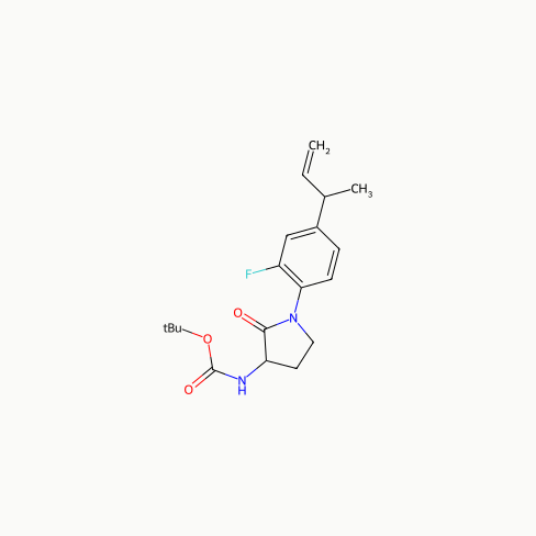 C=CC(C)c1ccc(N2CCC(NC(=O)OC(C)(C)C)C2=O)c(F)c1